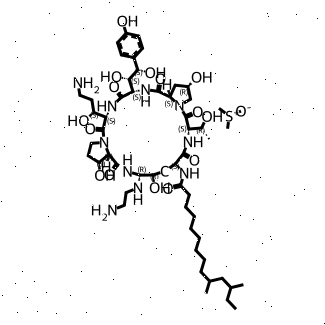 CCC(C)CC(C)CCCCCCCCC(=O)N[C@H]1C[C@@H](O)[C@H](NCCN)NC(=O)[C@@H]2[C@@H](O)CCN2C(=O)[C@H]([C@@H](O)CCN)NC(=O)[C@H]([C@H](O)[C@@H](O)c2ccc(O)cc2)NC(=O)[C@@H]2C[C@@H](O)CN2C(=O)[C@H]([C@@H](C)O)NC1=O.C[S+](C)[O-]